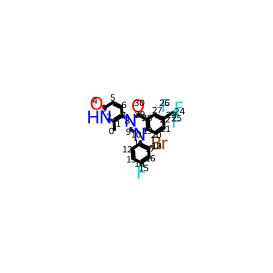 Cc1[nH]c(=O)ccc1N1CN(c2ccc(F)cc2Br)c2ccc(C(F)(F)F)cc2C1=O